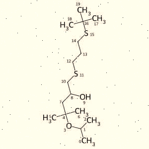 CC(C)OC(C)(C)CC(O)CSCCCSC(C)(C)C